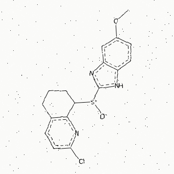 COc1ccc2[nH]c([S+]([O-])C3CCCc4ccc(Cl)nc43)nc2c1